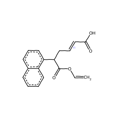 C=COC(=O)C(C/C=C/C(=O)O)c1cccc2ccccc12